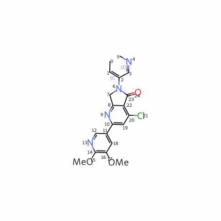 C/C=C(\C=N/C)N1Cc2nc(-c3cnc(OC)c(OC)c3)cc(Cl)c2C1=O